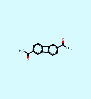 CC(=O)c1ccc2c(c1)-c1ccc(C(C)=O)cc1-2